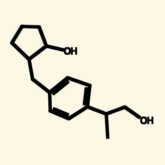 CC(CO)c1ccc(CC2CCCC2O)cc1